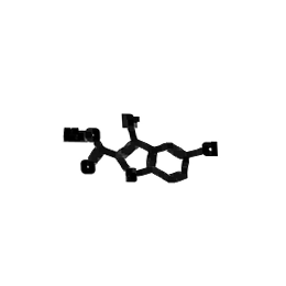 COC(=O)c1sc2ccc(Cl)cc2c1Br